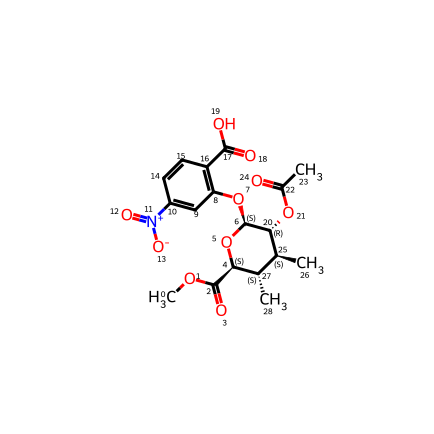 COC(=O)[C@H]1O[C@@H](Oc2cc([N+](=O)[O-])ccc2C(=O)O)[C@H](OC(C)=O)[C@@H](C)[C@@H]1C